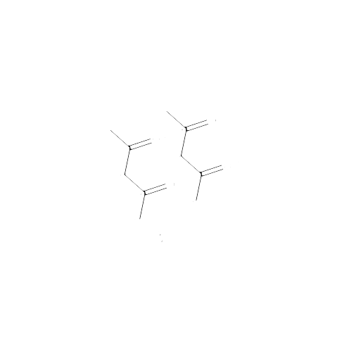 CC(=O)CC(C)=O.CC(=O)CC(C)=O.[V]